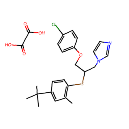 Cc1cc(C(C)(C)C)ccc1SC(COc1ccc(Cl)cc1)Cn1ccnc1.O=C(O)C(=O)O